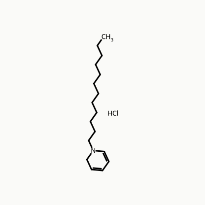 CCCCCCCCCCCCN1C=CC=CC1.Cl